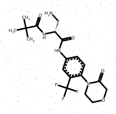 CC(C)(C)C(=O)N[C@H](CN)C(=O)Nc1ccc(N2CCOCC2=O)c(C(F)(F)F)c1